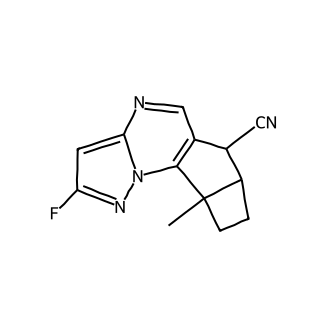 CC12CCC1C(C#N)c1cnc3cc(F)nn3c12